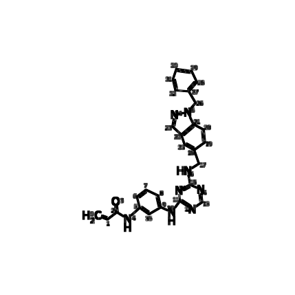 C=CC(=O)Nc1cccc(Nc2ncnc(NCc3ccc4c(cnn4Cc4ccccc4)c3)n2)c1